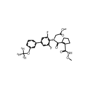 [2H]C([2H])([2H])Oc1cccc(-c2cc(F)c(N(CC(=O)OC)C(=O)C3=C(C(=O)NOC)CCC3)c(F)c2)c1